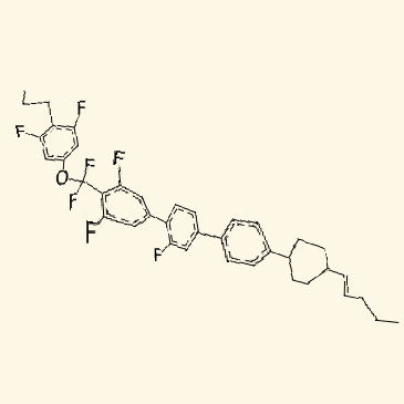 CCC/C=C/C1CCC(c2ccc(-c3ccc(-c4cc(F)c(C(F)(F)Oc5cc(F)c(CCC)c(F)c5)c(F)c4)c(F)c3)cc2)CC1